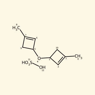 CC1=CC(OC2C=C(C)C2)C1.O=S(=O)(O)O